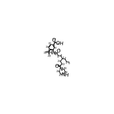 CCCC(CCC(=O)Nc1cc(C(=O)O)ccc1C(C)C)CCC(=O)N1CCNCC1